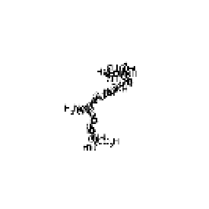 Cc1n[nH]c(C)c1-c1ccc(NC(=O)[C@@H](NC(=O)c2ccnn2CCCNC(=O)Cn2cc(COCC(=O)N3CC(OCC(CC(N)=O)NC(=O)COc4cccc(Oc5ccc(C(=O)N[C@@H](CCC(C)(C)C)C(=O)O)cn5)c4)C3)nn2)C(C2CC2)C2CC2)cc1